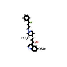 COc1ccc2nccc([C@@H](O)CC[C@@H]3CCN(CCCC(F)c4ccccc4)C[C@@H]3C(=O)O)c2c1